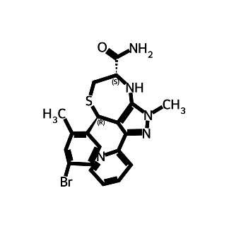 Cc1cc(Br)ccc1[C@H]1SC[C@H](C(N)=O)Nc2c1c(-c1ccccn1)nn2C